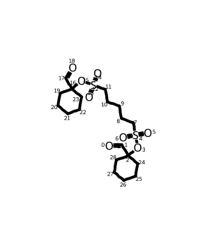 O=CC1(OS(=O)(=O)CCCCCS(=O)(=O)OC2(C=O)CCCCC2)CCCCC1